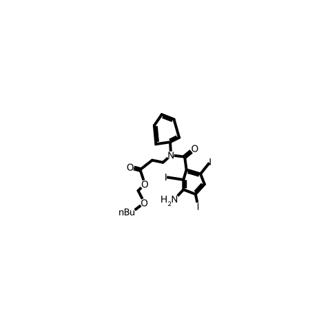 CCCCOCOC(=O)CCN(C(=O)c1c(I)cc(I)c(N)c1I)c1ccccc1